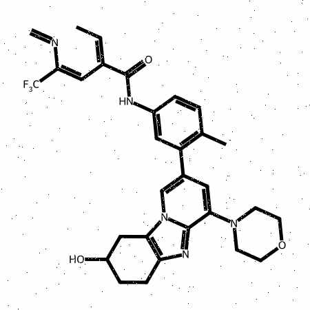 C=N/C(=C\C(=C/C)C(=O)Nc1ccc(C)c(-c2cc(N3CCOCC3)c3nc4c(n3c2)CC(O)CC4)c1)C(F)(F)F